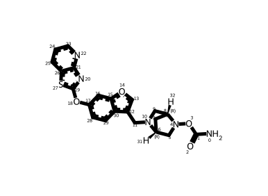 NC(=O)ON1C[C@H]2C[C@@H]1CN2Cc1coc2cc(Oc3nc4ncccc4s3)ccc12